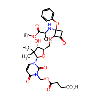 CC(C)OC(=O)[C@H](C)N[C@]1(Oc2ccccc2)CC(=O)C1OC[C@H]1O[C@@H](n2ccc(=O)n(COC(=O)CCC(=O)O)c2=O)C(C)(C)[C@@H]1O